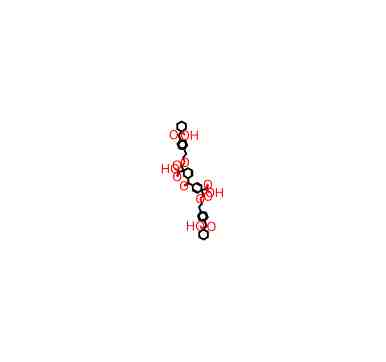 O=C(C1C=CC(C(=O)O)(C(=O)OCCc2ccc(C(=O)C3(O)CCCCC3)cc2)C=C1)C1C=CCC(C(=O)O)(C(=O)OCCc2ccc(C(=O)C3(O)CCCCC3)cc2)C1